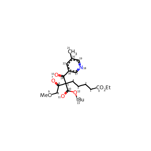 CCOC(=O)CCCCC(C(=O)COC)(C(=O)OC(C)(C)C)C(=O)c1cncc(C)c1